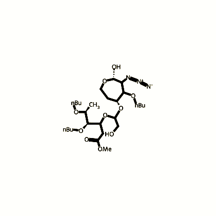 CCCCOC1C(N=[N+]=[N-])[C@@H](O)OCC[C@H]1OC(CO)OC(CC(=O)OC)[C@@H](OCCCC)[C@H](C)OCCCC